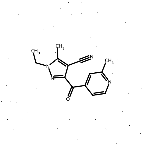 CCn1nc(C(=O)c2ccnc(C)c2)c(C#N)c1C